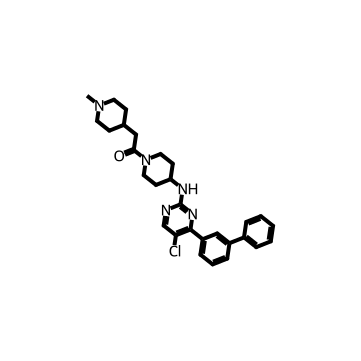 CN1CCC(CC(=O)N2CCC(Nc3ncc(Cl)c(-c4cccc(-c5ccccc5)c4)n3)CC2)CC1